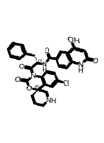 O=C(N[C@@H](Cc1ccccc1)C(=O)N1C(=O)O[C@]2(CCCNC2)c2cc(Cl)ccc21)c1ccc2[nH]c(=O)cc(O)c2c1